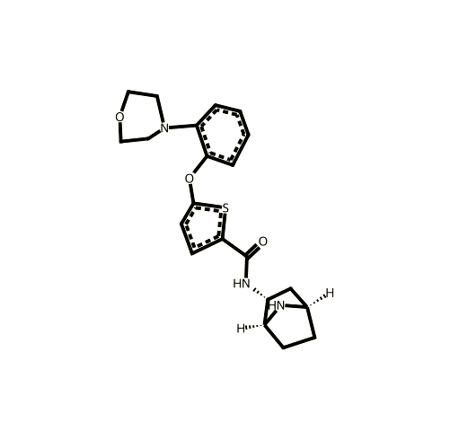 O=C(N[C@@H]1C[C@H]2CC[C@@H]1N2)c1ccc(Oc2ccccc2N2CCOCC2)s1